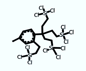 Cc1ccc(C(CC[Si](Cl)(Cl)Cl)(CC[Si](Cl)(Cl)Cl)CC[Si](Cl)(Cl)Cl)c(CC[Si](Cl)(Cl)Cl)c1